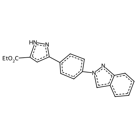 CCOC(=O)c1cc(-c2ccc(-n3cc4ccccc4n3)cc2)n[nH]1